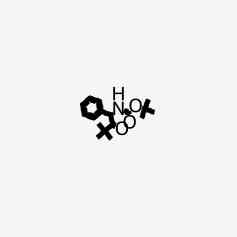 CC(C)(C)OC(=O)N[C@@H](C(=O)C(C)(C)C)c1ccccc1